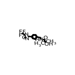 CC(C)(O)C(=O)NCc1ccc(-c2noc(C(F)(F)F)n2)cc1